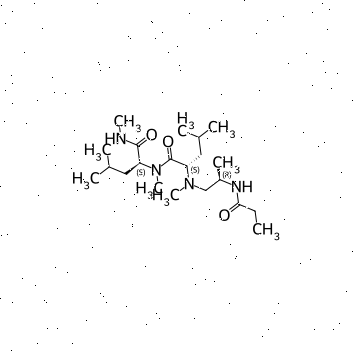 CCC(=O)N[C@H](C)CN(C)[C@@H](CC(C)C)C(=O)N(C)[C@@H](CC(C)C)C(=O)NC